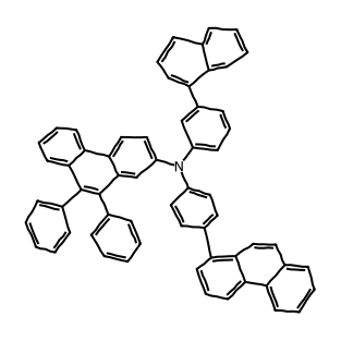 c1ccc(-c2c(-c3ccccc3)c3cc(N(c4ccc(-c5cccc6c5ccc5ccccc56)cc4)c4cccc(-c5cccc6ccccc56)c4)ccc3c3ccccc23)cc1